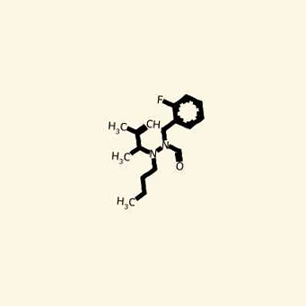 C=C(C)C(C)N(CCCC)N(C=O)Cc1ccccc1F